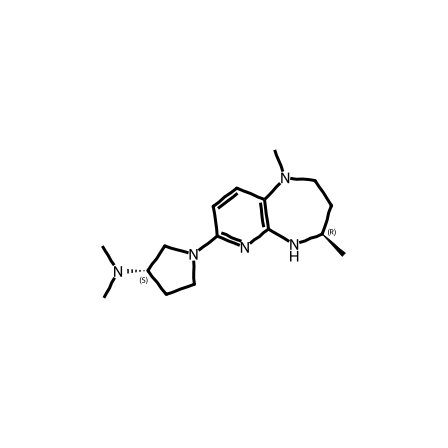 C[C@@H]1CCN(C)c2ccc(N3CC[C@H](N(C)C)C3)nc2N1